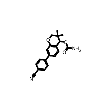 CC1(C)COc2cc(-c3ccc(C#N)cc3)ccc2C1OC(N)=O